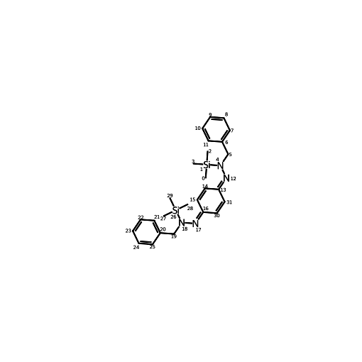 C[Si](C)(C)N(Cc1ccccc1)N=C1C=CC(=NN(Cc2ccccc2)[Si](C)(C)C)C=C1